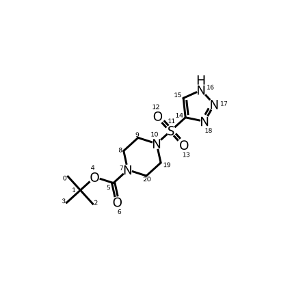 CC(C)(C)OC(=O)N1CCN(S(=O)(=O)c2c[nH]nn2)CC1